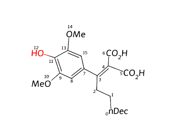 CCCCCCCCCCCCC(=C(C(=O)O)C(=O)O)c1cc(OC)c(O)c(OC)c1